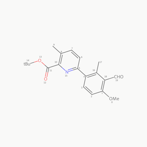 COc1ccc(-c2ccc(C)c(C(=O)OC(C)(C)C)n2)c(C)c1C=O